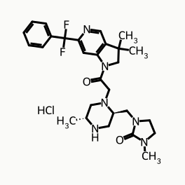 C[C@@H]1CN(CC(=O)N2CC(C)(C)c3cnc(C(F)(F)c4ccccc4)cc32)[C@@H](CN2CCN(C)C2=O)CN1.Cl